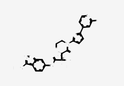 COc1cc(-c2ccc(N3CCO[C@H]([C@@](C)(O)C(=O)Nc4ccc5c(N)noc5c4)C3=O)o2)ccn1